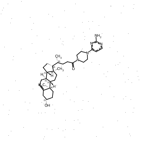 C[C@H](CCC(=O)N1CCN(c2ccnc(N)n2)CC1)[C@H]1CC[C@H]2[C@@H]3CC=C4C[C@@H](O)CC[C@]4(C)[C@H]3CC[C@]12C